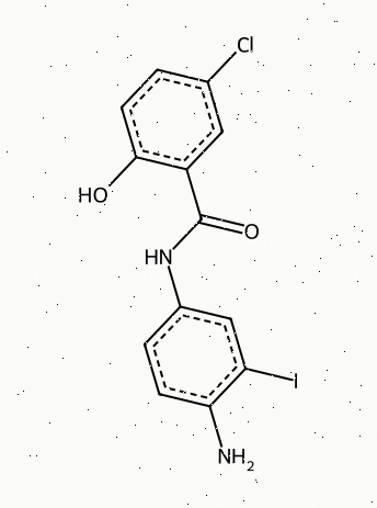 Nc1ccc(NC(=O)c2cc(Cl)ccc2O)cc1I